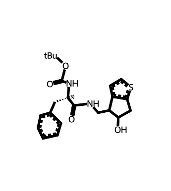 CC(C)(C)OC(=O)N[C@@H](Cc1ccccc1)C(=O)NCC1c2ccsc2CC1O